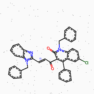 O=C(/C=C/c1nc2ccccc2n1Cc1ccccc1)c1c(-c2ccccc2)c2cc(Cl)ccc2n(Cc2ccccc2)c1=O